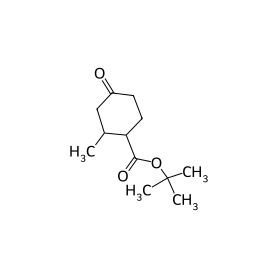 CC1CC(=O)CCC1C(=O)OC(C)(C)C